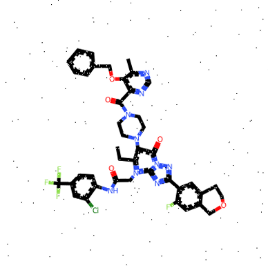 CCc1c(N2CCN(C(=O)c3ncnc(C)c3OCc3ccccc3)CC2)c(=O)n2nc(-c3cc4c(cc3F)COCC4)nc2n1CC(=O)Nc1ccc(C(F)(F)F)cc1Cl